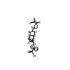 C=C(C)C(=C)OCC1CC2C3CC(COC(=O)C(=C)C)C(C3)C2C1